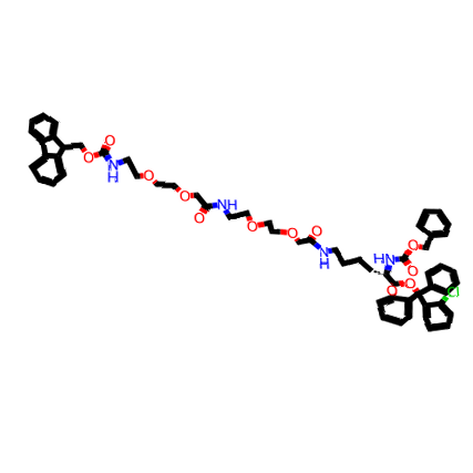 O=C(COCCOCCNC(=O)COCCOCCNC(=O)OCC1c2ccccc2-c2ccccc21)NCCCC[C@H](NC(=O)OCc1ccccc1)C(=O)OC(c1ccccc1)(c1ccccc1)c1ccccc1Cl